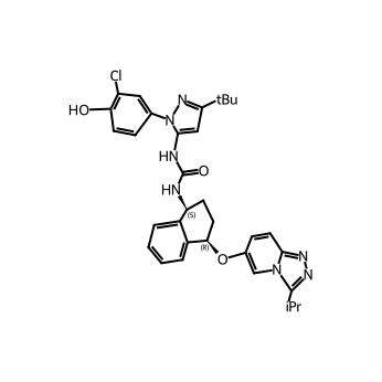 CC(C)c1nnc2ccc(O[C@@H]3CC[C@H](NC(=O)Nc4cc(C(C)(C)C)nn4-c4ccc(O)c(Cl)c4)c4ccccc43)cn12